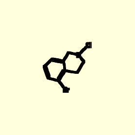 ClN1CCc2c(Br)cccc2C1